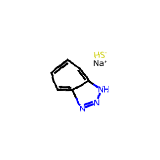 [Na+].[SH-].c1ccc2[nH]nnc2c1